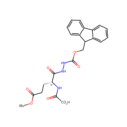 CC(C)(C)OC(=O)CC[C@@H](NC(=O)C(=O)O)C(=O)NNC(=O)OCC1c2ccccc2-c2ccccc21